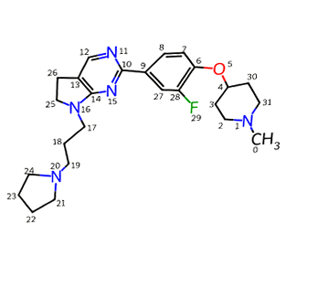 CN1CCC(Oc2ccc(-c3ncc4c(n3)N(CCCN3CCCC3)CC4)cc2F)CC1